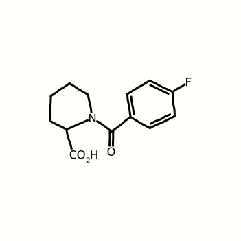 O=C(O)C1CCCCN1C(=O)c1ccc(F)cc1